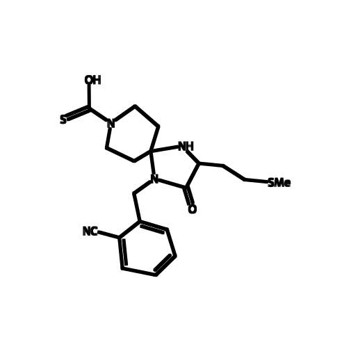 CSCCC1NC2(CCN(C(O)=S)CC2)N(Cc2ccccc2C#N)C1=O